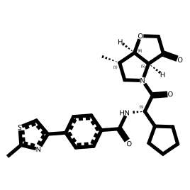 Cc1nc(-c2ccc(C(=O)N[C@H](C(=O)N3C[C@H](C)[C@H]4OCC(=O)[C@H]43)C3CCCC3)cc2)cs1